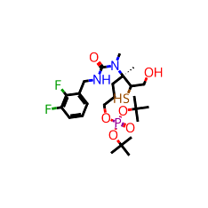 CN(C(=O)NCc1cccc(F)c1F)[C@](C)(CCCOP(=O)(OC(C)(C)C)OC(C)(C)C)C(S)CO